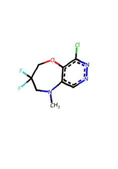 CN1CC(F)(F)COc2c1cnnc2Cl